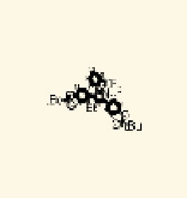 CCc1c(-c2ccc(OC(=O)C(C)(C)C)cc2)nn(-c2ccccc2C(F)(F)F)c1-c1ccc(OC(=O)C(C)(C)C)cc1